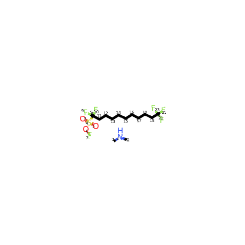 CNC.O=S(=O)(OF)C(F)(F)CCCCCCCCCC(F)(F)F